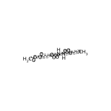 C=CC(=O)OCCOC(=O)CCCCCOC(=O)CC(=O)NCCNC(=O)CC(=O)OCCCCCC